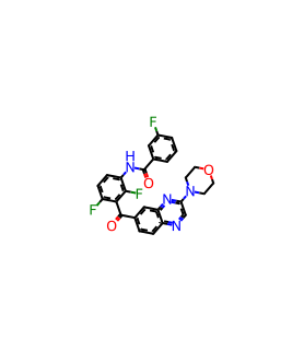 O=C(Nc1ccc(F)c(C(=O)c2ccc3ncc(N4CCOCC4)nc3c2)c1F)c1cccc(F)c1